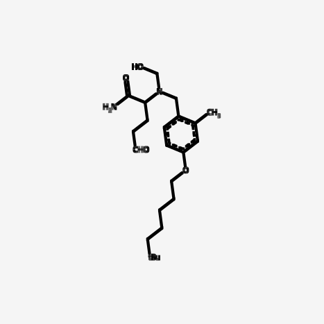 Cc1cc(OCCCCCC(C)(C)C)ccc1CN(CO)C(CCC=O)C(N)=O